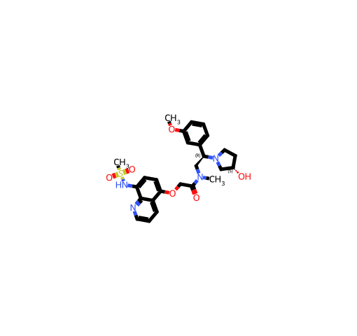 COc1cccc([C@H](CN(C)C(=O)COc2ccc(NS(C)(=O)=O)c3ncccc23)N2CC[C@H](O)C2)c1